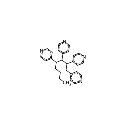 CCCCC(c1ccncc1)C(c1ccncc1)C([CH]c1ccncc1)c1ccncc1